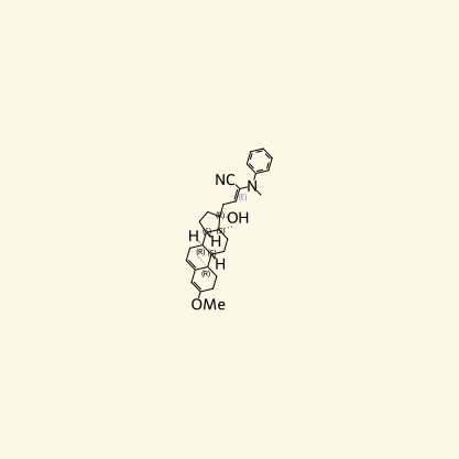 COC1=CC2=CC[C@@H]3[C@H](CC[C@@]4(C)[C@H]3CC[C@@]4(O)C/C=C(\C#N)N(C)c3ccccc3)[C@@]2(C)CC1